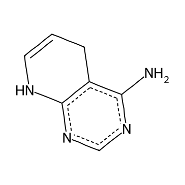 Nc1ncnc2c1CC=CN2